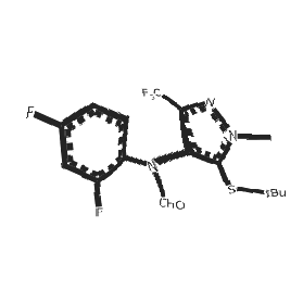 Cn1nc(C(F)(F)F)c(N(C=O)c2ccc(F)cc2F)c1SC(C)(C)C